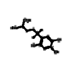 CCCCCCC(CCC(C)(C)c1cc(O)c(C(C)(C)C)cc1O)C(=O)O